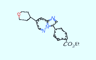 CCOC(=O)c1ccc(-c2cnc3cc(C4CCOCC4)cnn23)cc1